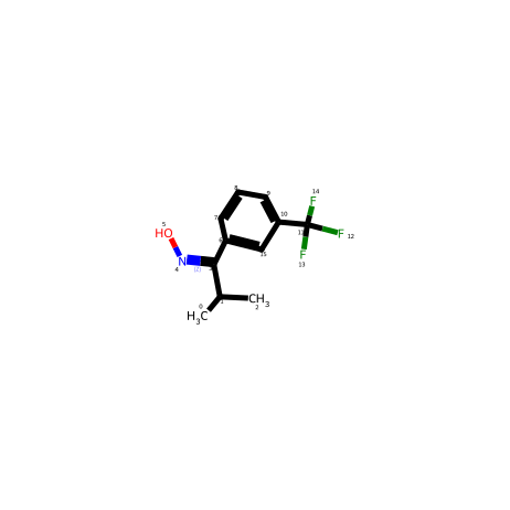 CC(C)/C(=N/O)c1cccc(C(F)(F)F)c1